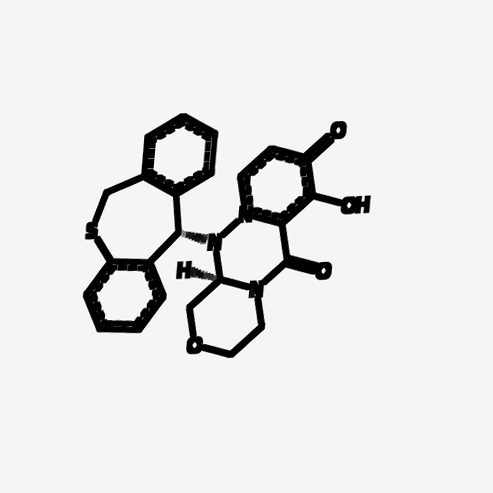 O=C1c2c(O)c(=O)ccn2N([C@H]2c3ccccc3CSc3ccccc32)[C@@H]2COCCN12